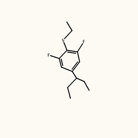 CCSc1c(F)cc(C(CC)CC)cc1F